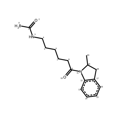 BC(=O)NCCCCCC(=O)N1c2ccccc2CC1C